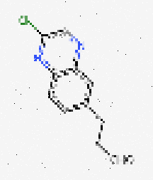 O=CCCc1ccc2nc(Cl)cnc2c1